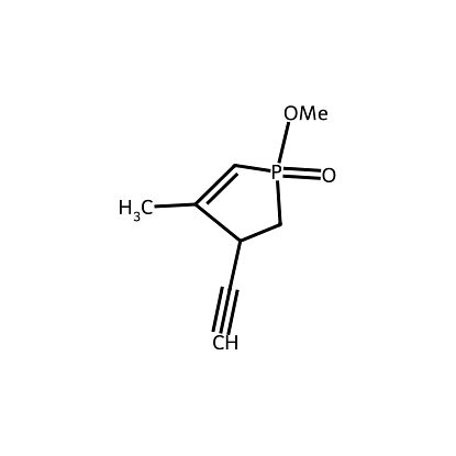 C#CC1CP(=O)(OC)C=C1C